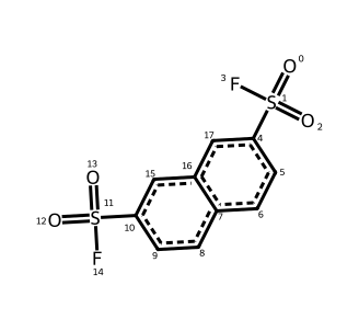 O=S(=O)(F)c1ccc2ccc(S(=O)(=O)F)cc2c1